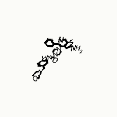 CN1Cc2sc(N)cc2C(N2CCN(C(=O)Nc3cccc(CN4CCOCC4)c3)CC2)=C1c1ccccc1